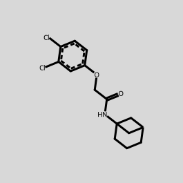 O=C(COc1ccc(Cl)c(Cl)c1)NC12CCCC(C1)C2